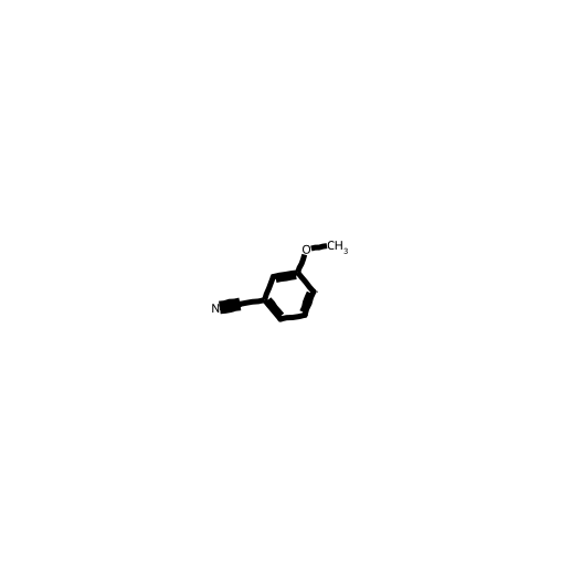 COc1[c]ccc(C#N)c1